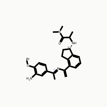 C=C(/N=C(\C)c1ccc(OC(C)C)c(N)c1)c1cccc2c1CC[C@@H]2NC(C)C(=O)N(C)C